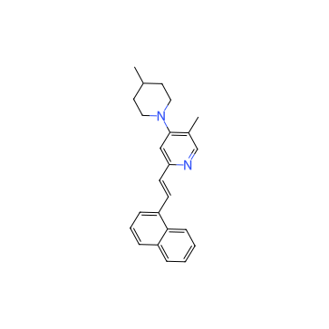 Cc1cnc(C=Cc2cccc3ccccc23)cc1N1CCC(C)CC1